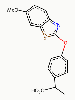 COc1ccc2nc(Oc3ccc(C(C)C(=O)O)cc3)sc2c1